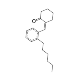 CCCCCCc1ccccc1C=C1CCCCC1=O